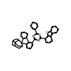 c1ccc(-c2nc(-c3cccc4c3-c3ccccc3C43C4CC5CC(C4)CC3C5)nc(-c3cccc4c3sc3ccccc34)n2)cc1